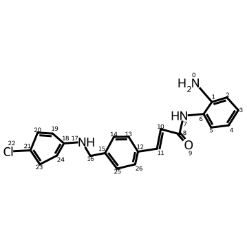 Nc1ccccc1NC(=O)C=Cc1ccc(CNc2ccc(Cl)cc2)cc1